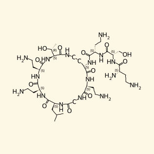 CC(C)C[C@@H]1NC(=O)CNC(=O)[C@H](CCN)NC(=O)[C@@H](NC(=O)[C@H](CCN)NC(=O)[C@H](CO)NC(=O)[C@@H](N)CCN)CCNC(=O)[C@H]([C@@H](C)O)NC(=O)[C@H](CCN)NC(=O)[C@H](CCN)NC1=O